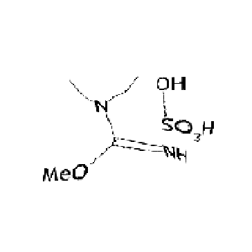 COC(=N)N(C)C.O=S(=O)(O)O